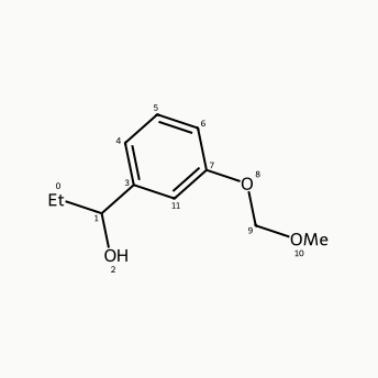 CCC(O)c1cccc(OCOC)c1